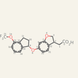 O=C(O)CC1COc2cc(O[C@@H]3CCc4c(OC(F)(F)F)cccc43)ccc21